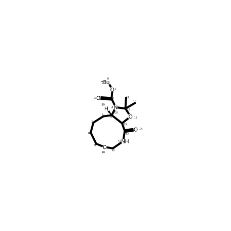 CC(C)(C)OC(=O)N1[C@H]2CCCCCCNC(=O)C2OC1(C)C